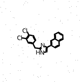 Clc1ccc(Cc2nc(-c3ccc4ccccc4c3)c[nH]2)cc1Cl